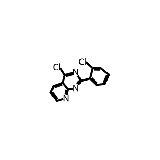 Clc1ccccc1-c1nc(Cl)c2cccnc2n1